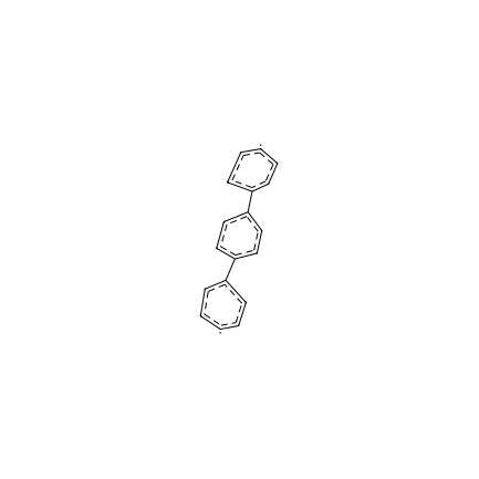 [c]1ccc(-c2ccc(-c3cc[c]cc3)cc2)cc1